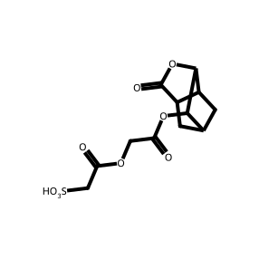 O=C(CS(=O)(=O)O)OCC(=O)OC1C2CC3C(=O)OC1C3C2